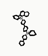 C1=CC(N(c2ccc(C3=CCC(n4c5c(c6ccccc64)C=CC4CCC=CC54)C=C3)cc2)C2C=CC(c3ccccc3)=CC2)=CCC1